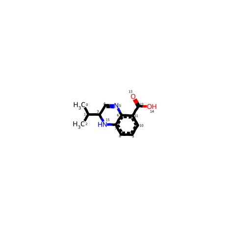 CC(C)C1C=Nc2c(cccc2C(=O)O)N1